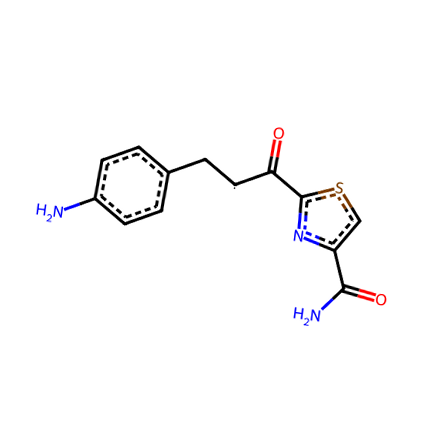 NC(=O)c1csc(C(=O)[CH]Cc2ccc(N)cc2)n1